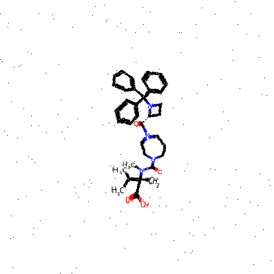 CC(C)[C@@](C)(C(=O)O)N(C)C(=O)N1CCCN(C(=O)[C@H]2CCN2C(c2ccccc2)(c2ccccc2)c2ccccc2)CC1